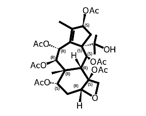 CC(=O)O[C@H]1C[C@]2(C(C)(C)O)C(=C1C)[C@@H](OC(C)=O)[C@H](OC(C)=O)[C@@]1(C)[C@@H](OC(C)=O)C[C@H]3OC[C@@]3(OC(C)=O)[C@H]1[C@@H]2OC(C)=O